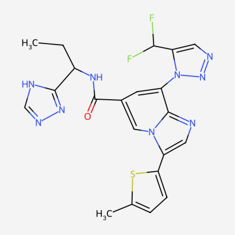 CCC(NC(=O)c1cc(-n2nncc2C(F)F)c2ncc(-c3ccc(C)s3)n2c1)c1nnc[nH]1